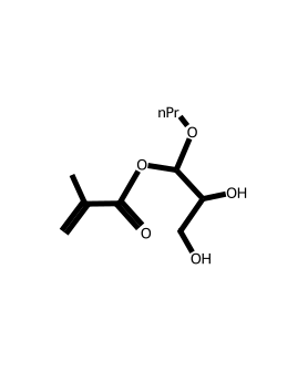 C=C(C)C(=O)OC(OCCC)C(O)CO